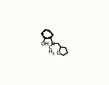 CN(CC1CCCO1)c1ccccc1O